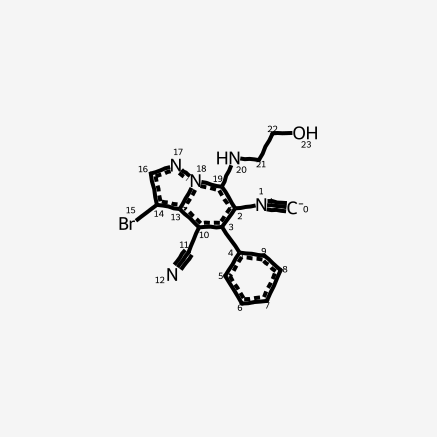 [C-]#[N+]c1c(-c2ccccc2)c(C#N)c2c(Br)cnn2c1NCCO